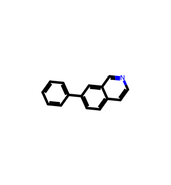 [c]1nccc2ccc(-c3ccccc3)cc12